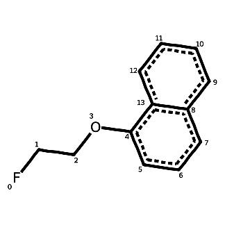 FCCOc1cccc2ccccc12